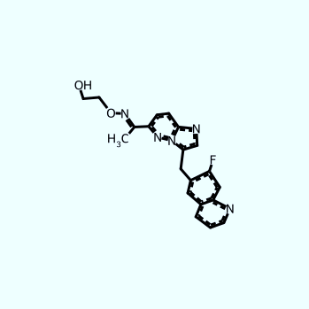 C/C(=N\OCCO)c1ccc2ncc(Cc3cc4cccnc4cc3F)n2n1